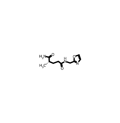 C[C@@H](C[CH]C(=O)NCc1ncco1)C(N)=O